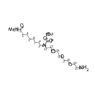 CNC(=O)CCCCCCCN(CCOCCOCCOCCN)C(=O)OC(C)(C)C